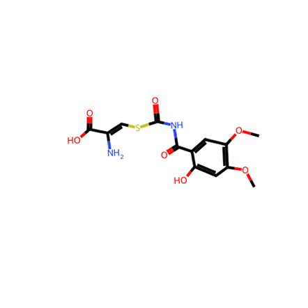 COc1cc(O)c(C(=O)NC(=O)S/C=C(\N)C(=O)O)cc1OC